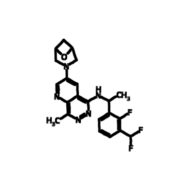 Cc1nnc(NC(C)c2cccc(C(F)F)c2F)c2cc(N3CC4CC(C3)O4)cnc12